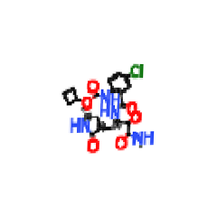 CNC(=O)C(=O)[C@H](C[C@@H]1C[C@@H](C)NC1=O)NC(=O)c1cc(Cl)ccc1NC(=O)OC1CCC1